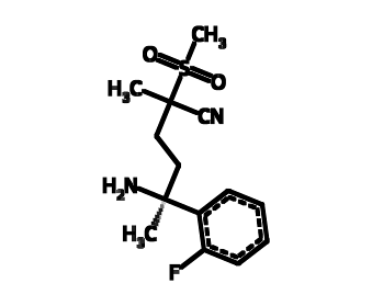 CC(C#N)(CC[C@](C)(N)c1ccccc1F)S(C)(=O)=O